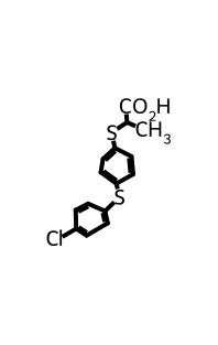 CC(Sc1ccc(Sc2ccc(Cl)cc2)cc1)C(=O)O